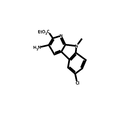 CCOC(=O)c1nc2c(cc1N)c1cc(Cl)ccc1n2C